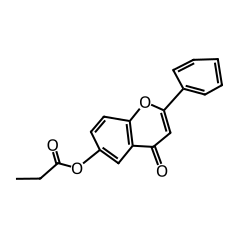 CCC(=O)Oc1ccc2oc(-c3ccccc3)cc(=O)c2c1